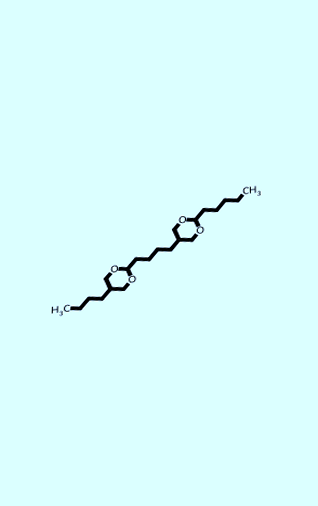 CCCCCC1OCC(CCCCC2OCC(CCCC)CO2)CO1